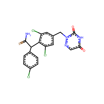 NC(=S)C(c1ccc(Cl)cc1)c1c(Cl)cc(Cn2ncc(=O)[nH]c2=O)cc1Cl